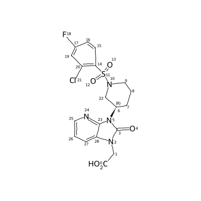 O=C(O)Cn1c(=O)n([C@@H]2CCCN(S(=O)(=O)c3ccc(F)cc3Cl)C2)c2ncccc21